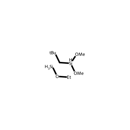 CCO[SiH3].CO[SiH](CC(C)(C)C)OC